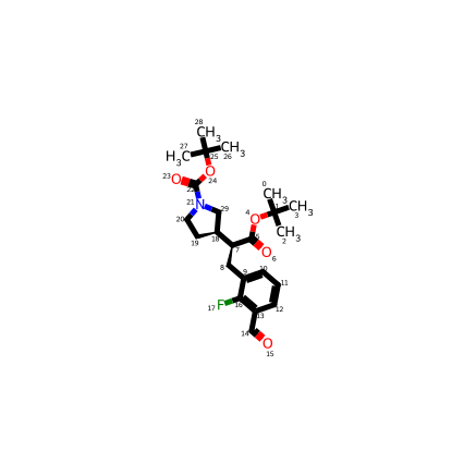 CC(C)(C)OC(=O)[C@@H](Cc1cccc(C=O)c1F)[C@H]1CCN(C(=O)OC(C)(C)C)C1